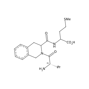 CSCCC(NC(=O)C1Cc2ccccc2CN1C(=O)[C@@H](N)C(C)C)C(=O)O